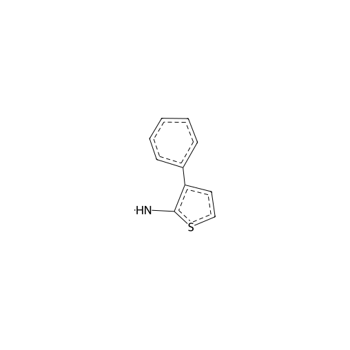 [NH]c1sccc1-c1ccccc1